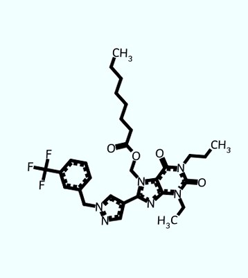 CCCCCCCC(=O)OCn1c(-c2cnn(Cc3cccc(C(F)(F)F)c3)c2)nc2c1c(=O)n(CCC)c(=O)n2CC